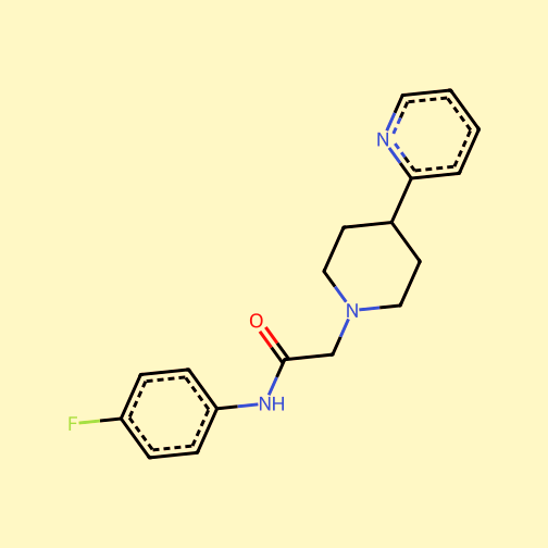 O=C(CN1CCC(c2ccccn2)CC1)Nc1ccc(F)cc1